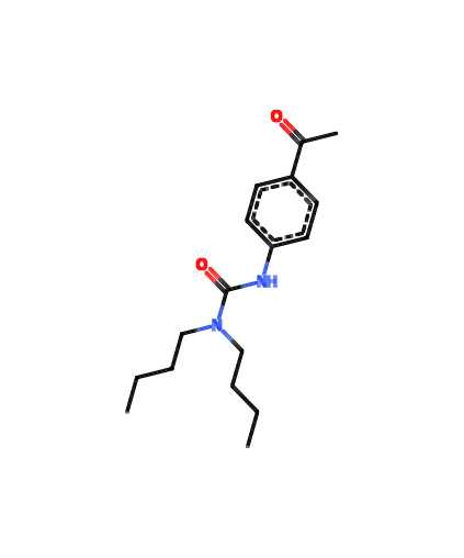 CCCCN(CCCC)C(=O)Nc1ccc(C(C)=O)cc1